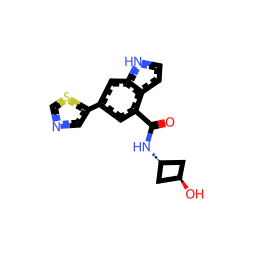 O=C(N[C@H]1C[C@H](O)C1)c1cc(-c2cncs2)cc2[nH]ccc12